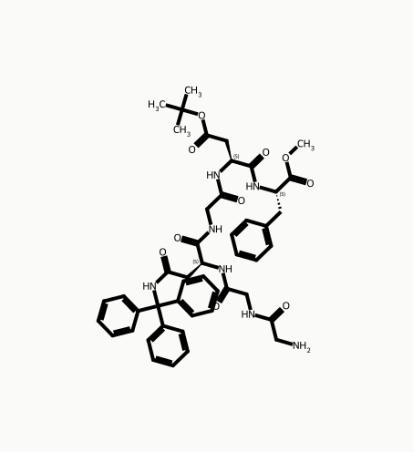 COC(=O)[C@H](Cc1ccccc1)NC(=O)[C@H](CC(=O)OC(C)(C)C)NC(=O)CNC(=O)[C@H](CC(=O)NC(c1ccccc1)(c1ccccc1)c1ccccc1)NC(=O)CNC(=O)CN